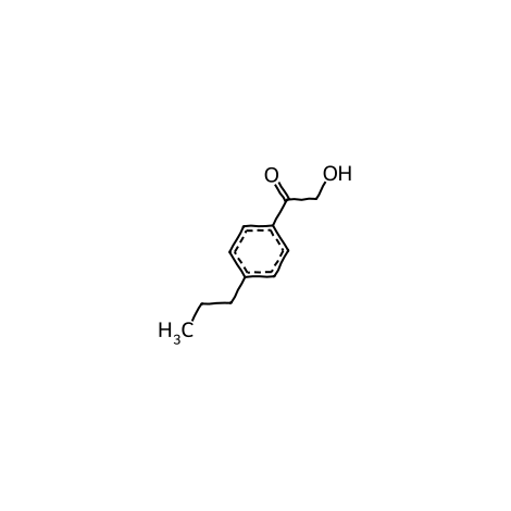 CCCc1ccc(C(=O)CO)cc1